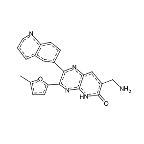 Cc1ccc(-c2nc3[nH]c(=O)c(CN)cc3nc2-c2ccc3ncccc3c2)o1